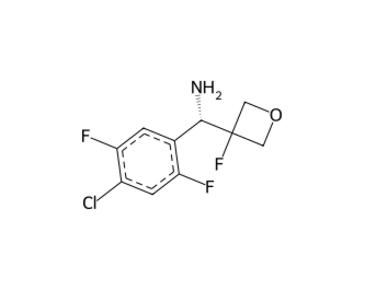 N[C@@H](c1cc(F)c(Cl)cc1F)C1(F)COC1